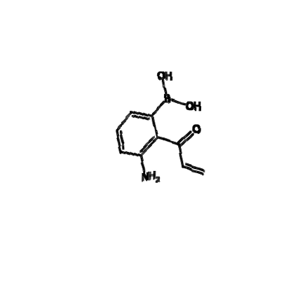 C=CC(=O)c1c(N)cccc1B(O)O